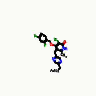 [CH2]C(=O)NCc1cnc(Cc2c(C)[nH]c(=O)c(Br)c2OCc2ccc(F)cc2F)cn1